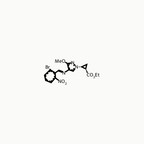 CCOC(=O)[C@@H]1C[C@H]1n1cc(/N=C/c2c(Br)cccc2[N+](=O)[O-])c(OC)n1